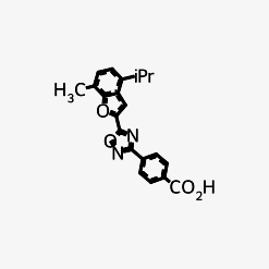 Cc1ccc(C(C)C)c2cc(-c3nc(-c4ccc(C(=O)O)cc4)no3)oc12